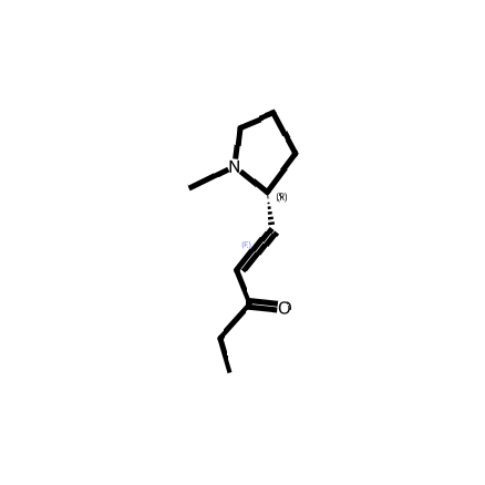 CCC(=O)/C=C/[C@H]1CCCN1C